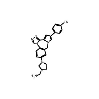 N#Cc1ccc(-c2cc3n(c2)Cc2cc(N4CC[C@@H](CN)C4)ccc2-n2cnnc2-3)cc1